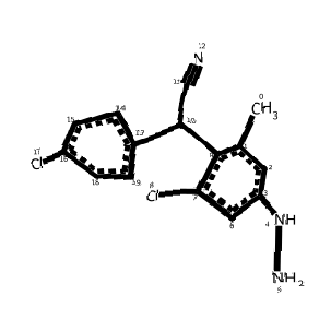 Cc1cc(NN)cc(Cl)c1C(C#N)c1ccc(Cl)cc1